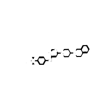 CS(=O)(=O)c1ccc(Nc2cc(N3CCC(N4CCc5ccccc5C4)[C@@H](O)C3)ncn2)cc1